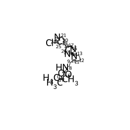 CC(C)(C)OC(=O)NCCC1CCCN1c1ncc(-c2ccnc(Cl)c2)cn1